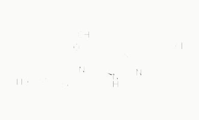 COc1cccc(OC)c1C(=O)N1CC[C@@H](Nc2nc3cc(Cl)ccc3s2)C1